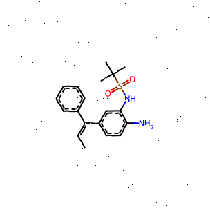 C/C=C(/c1ccccc1)c1ccc(N)c(NS(=O)(=O)C(C)(C)C)c1